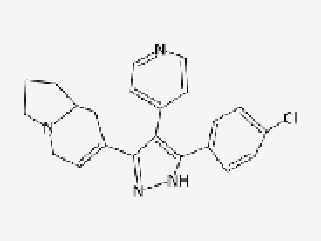 Clc1ccc(-c2[nH]nc(C3=CCN4CCCC4C3)c2-c2ccncc2)cc1